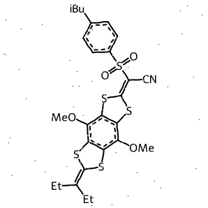 CCC(CC)=C1Sc2c(OC)c3c(c(OC)c2S1)SC(=C(C#N)S(=O)(=O)c1ccc(C(C)CC)cc1)S3